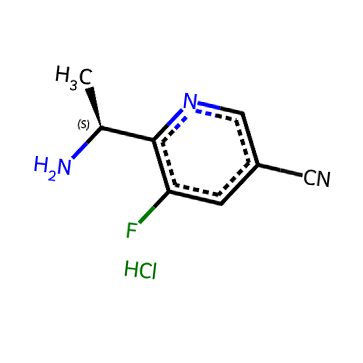 C[C@H](N)c1ncc(C#N)cc1F.Cl